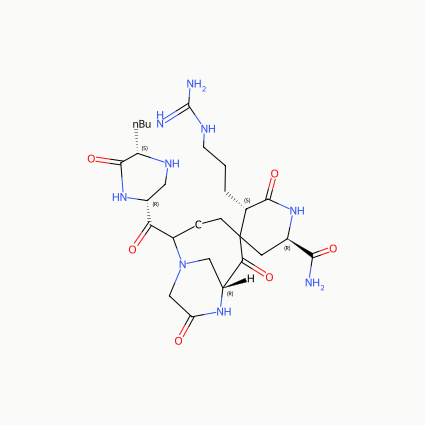 CCCC[C@@H]1NC[C@H](C(=O)C2CCC3(C[C@H](C(N)=O)NC(=O)[C@H]3CCCNC(=N)N)C(=O)[C@H]3CN2CC(=O)N3)NC1=O